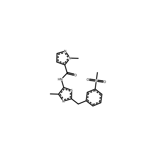 Cc1nc(Cc2cccc(S(C)(=O)=O)c2)sc1NC(=O)c1ccnn1C